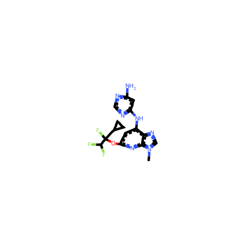 Cn1cnc2c(Nc3cc(N)ncn3)cc(OC(F)(C(F)F)C3CC3)nc21